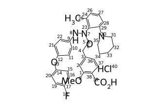 COc1cc(CC(=O)N(Nc2ccc(Oc3ccc(F)cc3)cc2)c2c(C)cccc2N2CCCCC2)ccc1C(=O)O.Cl